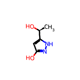 C[C@H](O)c1cc(O)n[nH]1